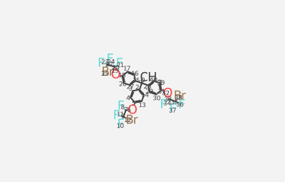 CC(c1ccc(OC(F)C(F)(F)Br)cc1)(c1ccc(OC(F)C(F)(F)Br)cc1)c1ccc(OC(F)C(F)(F)Br)cc1